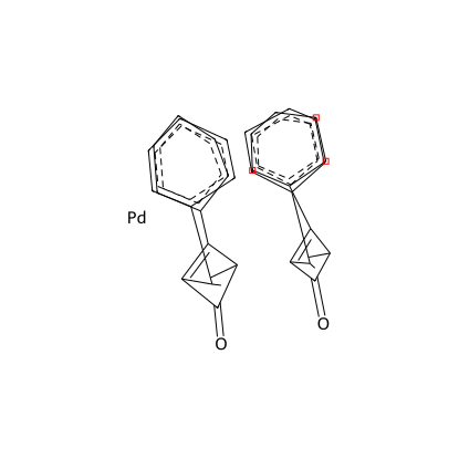 O=C1C2=C(c3ccccc3)C1=C2c1ccccc1.O=C1C2=C(c3ccccc3)C1=C2c1ccccc1.[Pd]